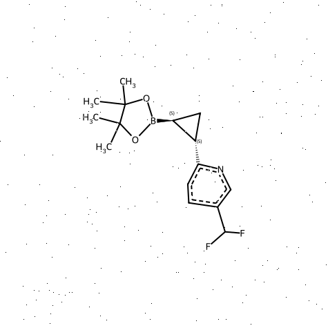 CC1(C)OB([C@H]2C[C@@H]2c2ccc(C(F)F)cn2)OC1(C)C